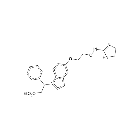 CCOC(=O)CC(c1ccccc1)n1ccc2cc(OCCONC3=NCCN3)ccc21